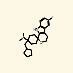 CN(C)C1(CC2CCCC2)CCC2(CC1)OCCc1c2[nH]c2ccc(F)cc12